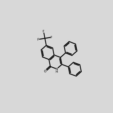 O=c1[nH]c(-c2ccccc2)c(-c2ccccc2)c2cc(C(F)(F)F)ccc12